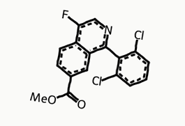 COC(=O)c1ccc2c(F)cnc(-c3c(Cl)cccc3Cl)c2c1